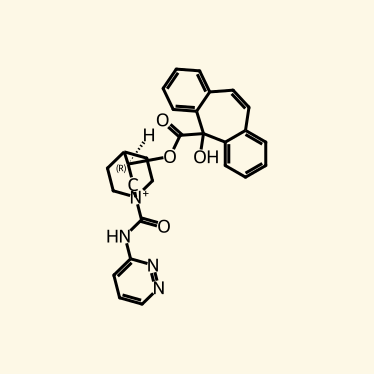 O=C(O[C@H]1C[N+]2(C(=O)Nc3cccnn3)CCC1CC2)C1(O)c2ccccc2C=Cc2ccccc21